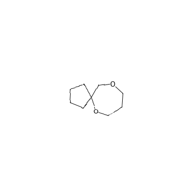 C1COCC2(CCCC2)OC1